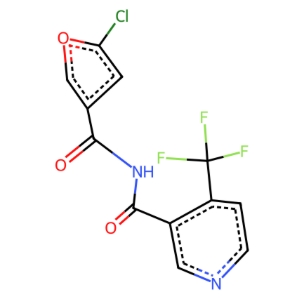 O=C(NC(=O)c1cnccc1C(F)(F)F)c1coc(Cl)c1